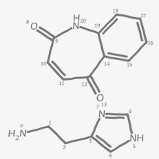 NCCc1c[nH]cn1.O=c1ccc(=O)c2ccccc2[nH]1